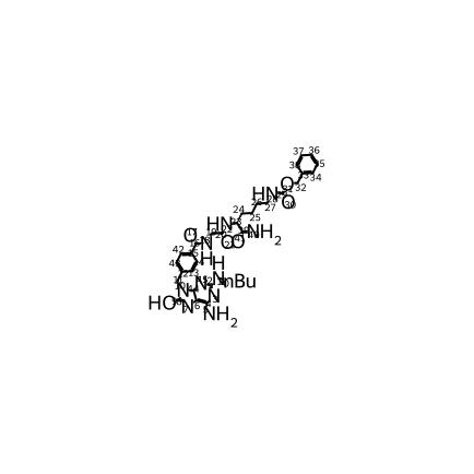 CCCCNc1nc(N)c2nc(O)n(Cc3ccc(C(=O)NCC(=O)N[C@@H](CCCCNC(=O)OCc4ccccc4)C(N)=O)cc3)c2n1